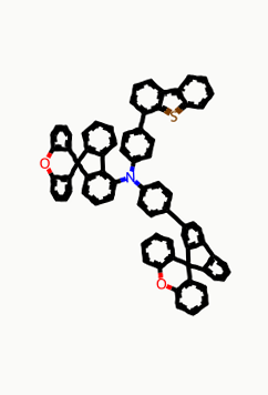 c1ccc2c(c1)Oc1ccccc1C21c2ccccc2-c2ccc(-c3ccc(N(c4ccc(-c5cccc6c5sc5ccccc56)cc4)c4cccc5c4-c4ccccc4C54c5ccccc5Oc5ccccc54)cc3)cc21